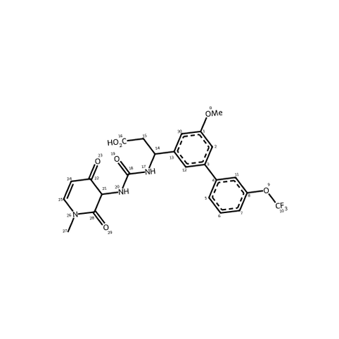 COc1cc(-c2cccc(OC(F)(F)F)c2)cc(C(CC(=O)O)NC(=O)NC2C(=O)C=CN(C)C2=O)c1